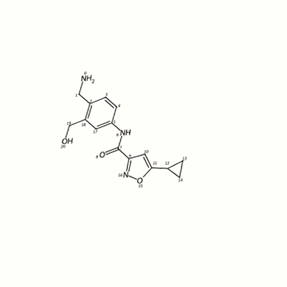 NCc1ccc(NC(=O)c2cc(C3CC3)on2)cc1CO